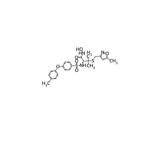 Cc1ccc(Oc2ccc(S(=O)(=O)N[C@@H](C(=O)NO)C(C)(C)SCc3cc(C)on3)cc2)cc1